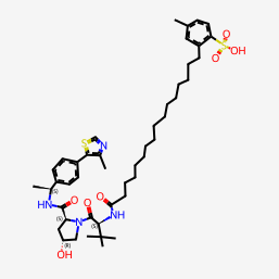 Cc1ccc(S(=O)(=O)O)c(CCCCCCCCCCCCCCCC(=O)N[C@H](C(=O)N2C[C@H](O)C[C@H]2C(=O)N[C@@H](C)c2ccc(-c3scnc3C)cc2)C(C)(C)C)c1